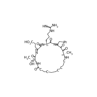 CC(C)CC1NC(=O)[C@H](CCCNC(=N)N)NC(=O)C(CCC(=O)O)NC(=O)[C@H]([C@@H](C)O)NC(=O)CCCCCCCCCN[C@@H](C)C(=O)C1=O